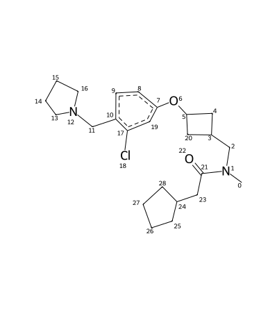 CN(CC1CC(Oc2ccc(CN3CCCC3)c(Cl)c2)C1)C(=O)CC1CCCC1